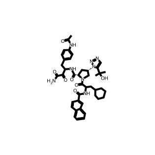 CC(=O)Nc1ccc(CC(NC(=O)[C@@H]2C[C@H](n3nncc3C(C)(C)O)CN2C(=O)C(CC2CCCCC2)NC(=O)c2ccc3ccccc3c2)C(=O)C(N)=O)cc1